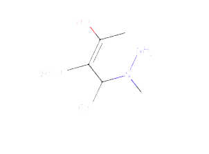 C/C(O)=C(/C(=O)O)C(N(C)N)C(F)(F)F